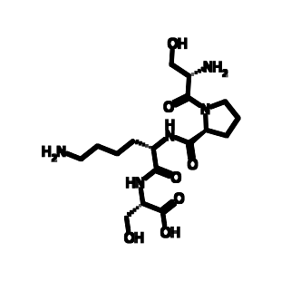 NCCCC[C@H](NC(=O)[C@@H]1CCCN1C(=O)[C@@H](N)CO)C(=O)N[C@@H](CO)C(=O)O